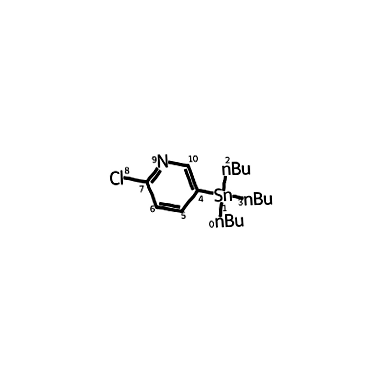 CCC[CH2][Sn]([CH2]CCC)([CH2]CCC)[c]1ccc(Cl)nc1